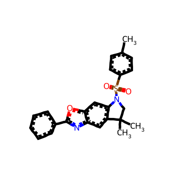 Cc1ccc(S(=O)(=O)N2CC(C)(C)c3cc4nc(-c5ccccc5)oc4cc32)cc1